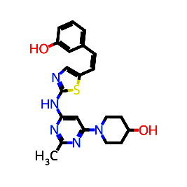 Cc1nc(Nc2ncc(/C=C\c3cccc(O)c3)s2)cc(N2CCC(O)CC2)n1